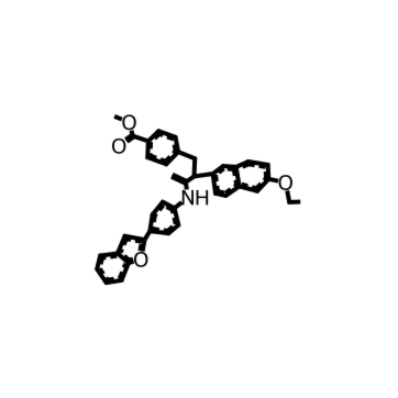 C=C(Nc1ccc(-c2cc3ccccc3o2)cc1)C(Cc1ccc(C(=O)OC)cc1)c1ccc2cc(OCC)ccc2c1